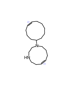 C1=C\CCCC(N2CCC/C=C\CCNCC2)CCCCC/1